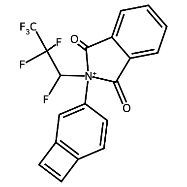 O=C1c2ccccc2C(=O)[N+]1(c1ccc2c(c1)C=C2)C(F)C(F)(F)C(F)(F)F